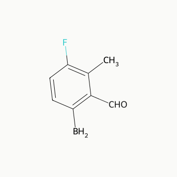 Bc1ccc(F)c(C)c1C=O